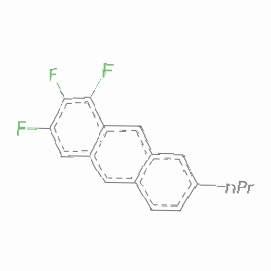 CCCc1ccc2cc3cc(F)c(F)c(F)c3cc2c1